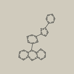 c1ccc(-c2ccc(-c3cccc(-c4c5ccccc5cc5ccccc45)c3)s2)cc1